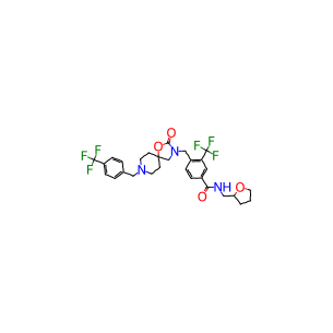 O=C(NCC1CCCO1)c1ccc(CN2CC3(CCN(Cc4ccc(C(F)(F)F)cc4)CC3)OC2=O)c(C(F)(F)F)c1